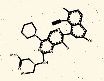 C#Cc1c(F)ccc2cc(O)cc(-c3ncc4c(N5CCCCC5)nc(N[C@H](CC(=O)NC)CC(C)C)nc4c3F)c12